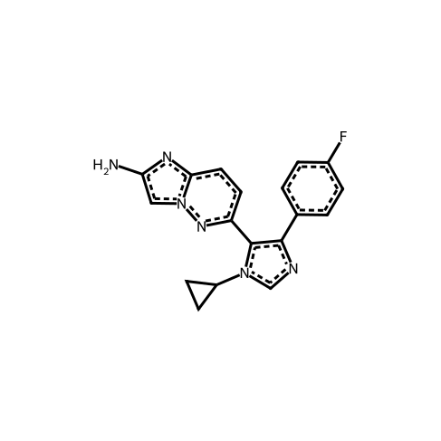 Nc1cn2nc(-c3c(-c4ccc(F)cc4)ncn3C3CC3)ccc2n1